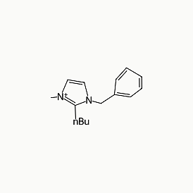 CCCCc1n(Cc2ccccc2)cc[n+]1C